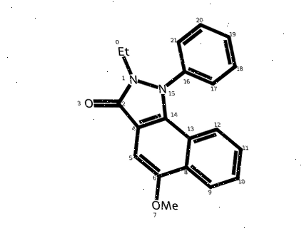 CCn1c(=O)c2cc(OC)c3ccccc3c2n1-c1ccccc1